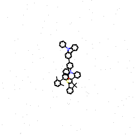 Cc1cccc(C)c1-c1ccc(N(c2ccc(-c3ccc4c(c3)c3ccccc3n4-c3ccccc3)cc2)c2ccccc2-c2c(-c3ccccc3)sc3c2C(C)(C)c2ccccc2-3)cc1